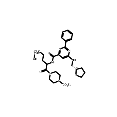 CCOC(=O)N1CCN(C(=O)C(CCC(=O)O)NC(=O)c2cc(NC[C@@H]3CCCO3)nc(-c3ccccc3)n2)CC1.O=CO